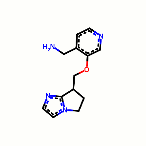 NCc1ccncc1OCC1CCn2ccnc21